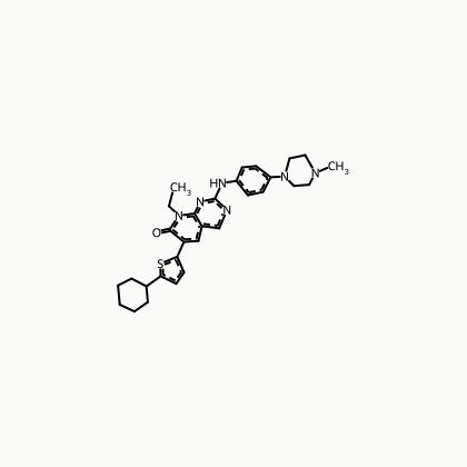 CCn1c(=O)c(-c2ccc(C3CCCCC3)s2)cc2cnc(Nc3ccc(N4CCN(C)CC4)cc3)nc21